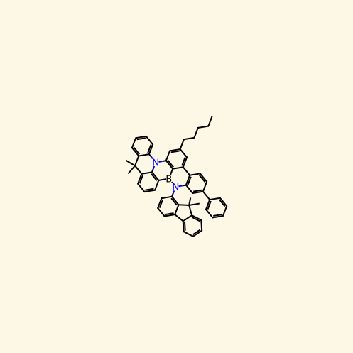 CCCCCc1cc2c3c(c1)N1c4ccccc4C(C)(C)c4cccc(c41)B3N(c1cccc3c1C(C)(C)c1ccccc1-3)c1cc(-c3ccccc3)ccc1-2